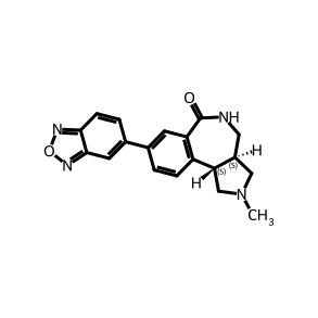 CN1C[C@@H]2CNC(=O)c3cc(-c4ccc5nonc5c4)ccc3[C@H]2C1